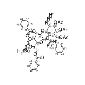 CCCCO[C@@H](COC(=O)c1ccccc1)C1OC(O/C(=N/c2ccccc2)C(F)(F)F)[C@H](O[C@H]2OC(COC(C)=O)[C@@H](OC(C)=O)C(OC(C)=O)C2N=[N+]=[N-])C(OC(=O)c2ccccc2)[C@@H]1OB=BP